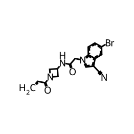 C=CC(=O)N1CC(NC(=O)Cn2cc(C#N)c3cc(Br)ccc32)C1